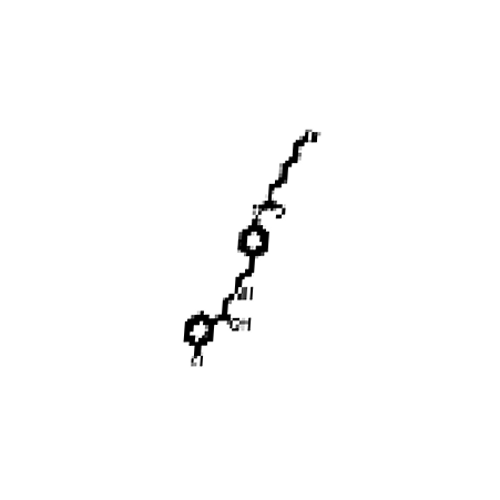 O=C(CCCCCBr)Oc1ccc(CCNCC(O)c2cccc(Cl)c2)cc1